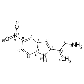 C=C(CN)c1cc2cc([N+](=O)[O-])ccc2[nH]1